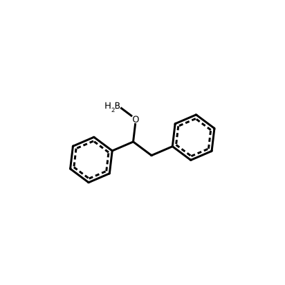 BOC(Cc1ccccc1)c1ccccc1